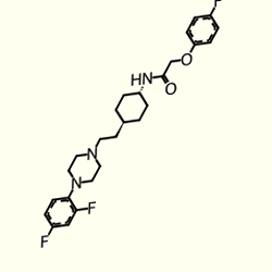 O=C(COc1ccc(F)cc1)N[C@H]1CC[C@H](CCN2CCN(c3ccc(F)cc3F)CC2)CC1